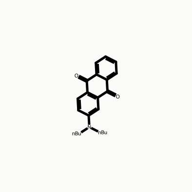 CCCCN(CCCC)c1ccc2c(c1)C(=O)c1ccccc1C2=O